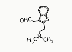 CN(C)CCc1sc2ccccc2c1CC=O